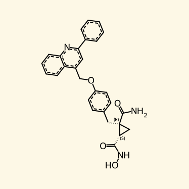 NC(=O)[C@@]1(Cc2ccc(OCc3cc(-c4ccccc4)nc4ccccc34)cc2)C[C@@H]1C(=O)NO